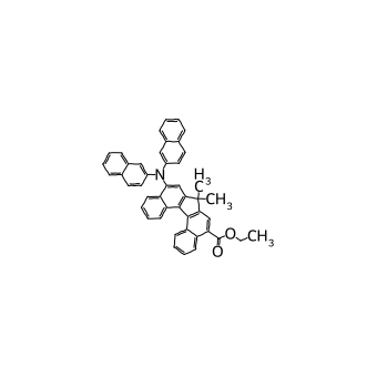 CCOC(=O)c1cc2c(c3ccccc13)-c1c(cc(N(c3ccc4ccccc4c3)c3ccc4ccccc4c3)c3ccccc13)C2(C)C